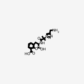 CC(C)(C(=O)N[C@H]1Cc2cccc(C(=O)O)c2OB1O)n1cc(CN)nn1